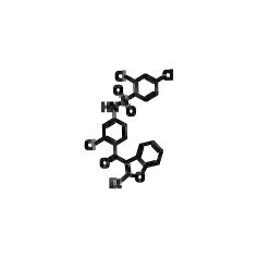 CCc1oc2ccccc2c1C(=O)c1ccc(NS(=O)(=O)c2ccc(Cl)cc2Cl)cc1Cl